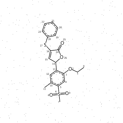 CCOc1cc(S(C)(=O)=O)c(C)cc1C1C=C(Sc2ccccc2)C(=O)O1